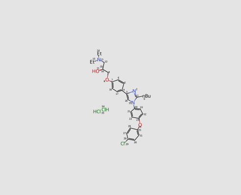 CCCCc1nc(-c2ccc(OC[C@@H](O)CN(CC)CC)cc2)cn1-c1ccc(Oc2ccc(Cl)cc2)cc1.Cl.Cl